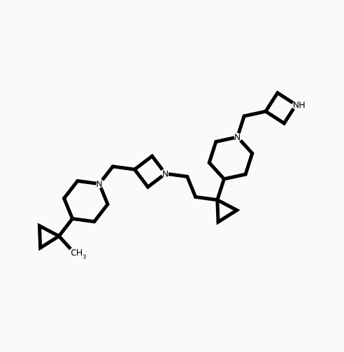 CC1(C2CCN(CC3CN(CCC4(C5CCN(CC6CNC6)CC5)CC4)C3)CC2)CC1